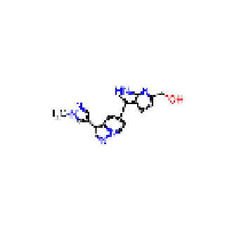 Cn1cc(-c2cnn3ccc(-c4c[nH]c5nc(CO)ccc45)cc23)cn1